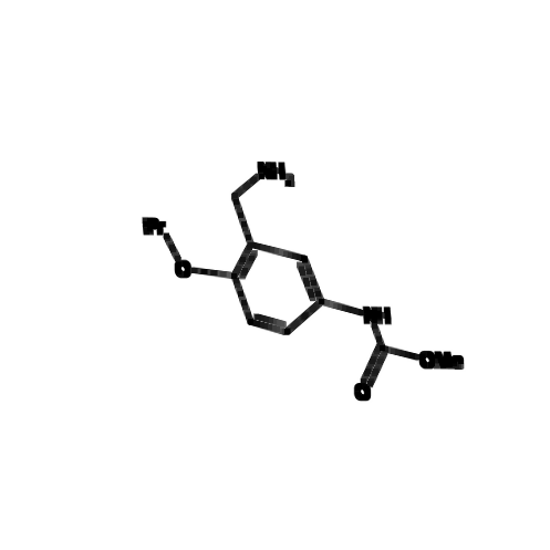 COC(=O)Nc1ccc(OC(C)C)c(CN)c1